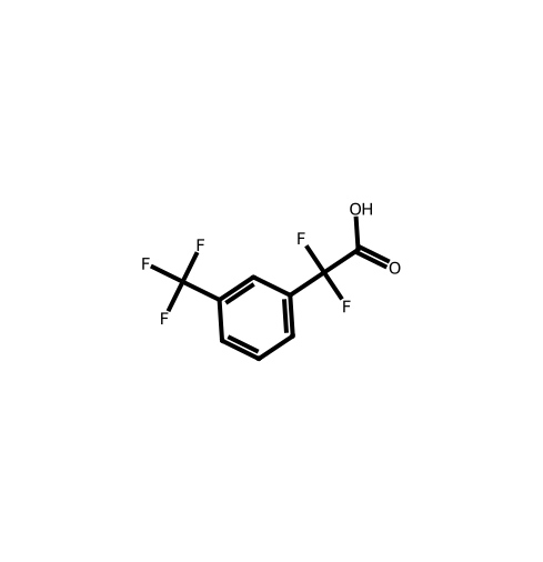 O=C(O)C(F)(F)c1cccc(C(F)(F)F)c1